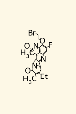 CCc1cc2n(c(=O)c1C)Cc1c-2nc2cc(F)c(OCCBr)c([N+](=O)[O-])c2c1C